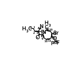 CC/C=C(\C#N)C(=O)c1cccc(OC(F)F)c(Br)cc(C)[nH]1